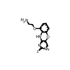 NCCOc1cccc2c1Nc1nc(=S)[nH]cc1O2